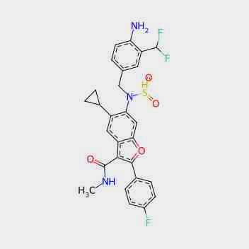 CNC(=O)c1c(-c2ccc(F)cc2)oc2cc(N(Cc3ccc(N)c(C(F)F)c3)[SH](=O)=O)c(C3CC3)cc12